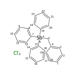 [Cl-].c1ccc([CH2][Sb+]([c]2ccccc2)([c]2ccccc2)[c]2ccccc2)cc1